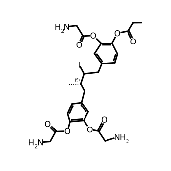 CCC(=O)Oc1ccc(CC(I)[C@@H](C)Cc2ccc(OC(=O)CN)c(OC(=O)CN)c2)cc1OC(=O)CN